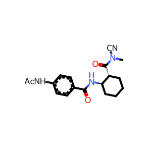 CC(=O)Nc1ccc(C(=O)N[C@@H]2CCCC[C@H]2C(=O)N(C)C#N)cc1